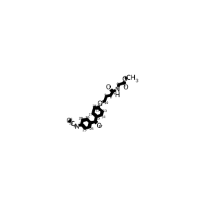 COC(=O)CNC(=O)CCCOc1ccc(C(=O)c2ccc(N=C=O)cc2)cc1